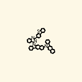 c1ccc2cc3c(cc2c1)c1ccccc1n3-c1ccc2cc3c4ccccc4n(-c4nc(-c5ccc6c(c5)sc5ccccc56)nc5ccccc45)c3cc2c1